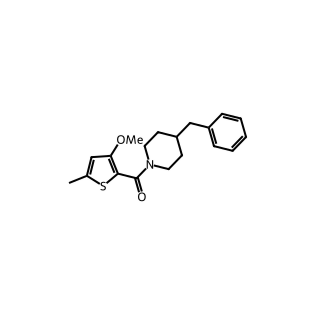 COc1cc(C)sc1C(=O)N1CCC(Cc2ccccc2)CC1